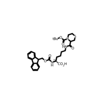 CC(C)(C)OC(=O)N1CCSCC1C(=O)NCCCC[C@H](NC(=O)OCC1c2ccccc2-c2ccccc21)C(=O)O